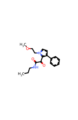 CCCNC(=O)C(=O)c1c(-c2ccccc2)ccn1CCOC